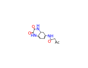 CC(=O)CC(=O)NC1=CC=C2NC(=O)C(=O)NC2C1